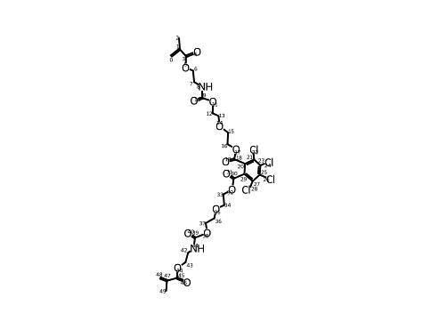 C=C(C)C(=O)OCCNC(=O)OCCOCCOC(=O)c1c(Cl)c(Cl)c(Cl)c(Cl)c1C(=O)OCCOCCOC(=O)NCCOC(=O)C(=C)C